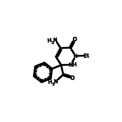 CCN1NC(C(N)=O)(c2ccccc2)C=C(N)C1=O